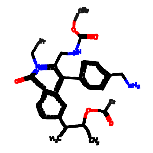 CCC(=O)OC(C)C(C)c1ccc2c(=O)n(CC(C)C)c(CNC(=O)OC(C)(C)C)c(-c3ccc(CN)cc3)c2c1